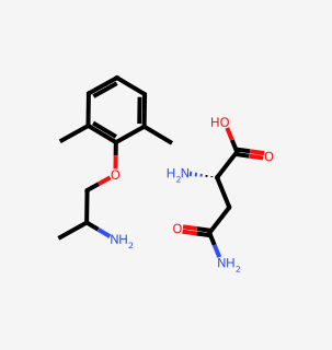 Cc1cccc(C)c1OCC(C)N.NC(=O)C[C@H](N)C(=O)O